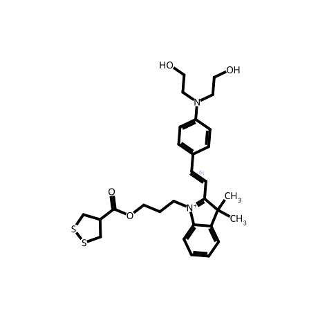 CC1(C)C(/C=C/c2ccc(N(CCO)CCO)cc2)=[N+](CCCOC(=O)C2CSSC2)c2ccccc21